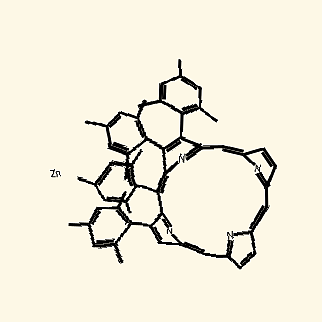 Cc1cc(C)c(C2=CC3=CC4=NC(=CC5=NC(=CC6=NC(=C(c7c(C)cc(C)cc7C)C2=N3)C(c2c(C)cc(C)cc2C)=C6c2c(C)cc(C)cc2C)C=C5)C=C4)c(C)c1.[Zn]